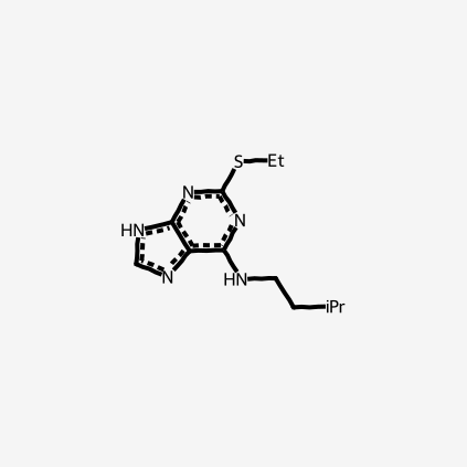 CCSc1nc(NCCC(C)C)c2nc[nH]c2n1